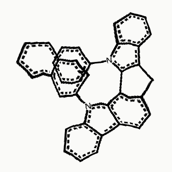 c1ccc(-n2c3c(c4ccccc42)Cc2ccc4c5ccccc5n(-c5ccc6ccccc6c5)c4c2-3)cc1